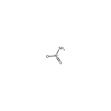 O=[N+]([O-])[SiH3]